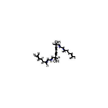 CC(C)=CCC/C(C)=C/C=C/C(C)(O)C#CC#CC(C)(O)/C=C/C=C(\C)CCC=C(C)C